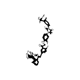 Cc1ccc(N2C(=O)C(C)(C)N(c3ccc(OCC(=O)c4cc(Cc5n[nH]c(=O)c6ccccc56)ccc4F)c(F)c3)C2=S)cc1C(F)(F)F